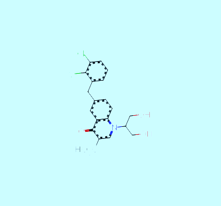 O=C(O)c1cn(C(CO)CO)c2ccc(Cc3cccc(Cl)c3Cl)cc2c1=O